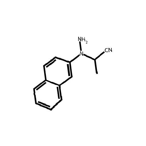 CC(C#N)N(N)c1ccc2ccccc2c1